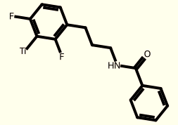 O=C(NCCCc1ccc(F)[c]([Ti])c1F)c1ccccc1